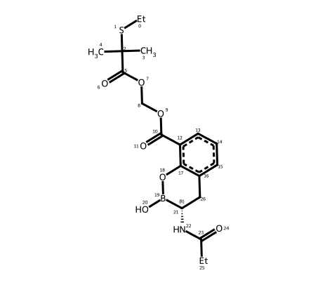 CCSC(C)(C)C(=O)OCOC(=O)c1cccc2c1OB(O)[C@@H](NC(=O)CC)C2